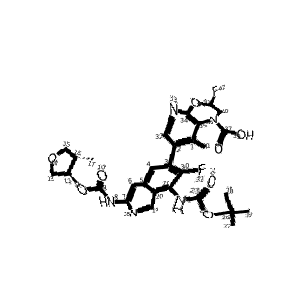 Cc1c(-c2cc3cc(NC(=O)O[C@H]4COC[C@@H]4C)ncc3c(NC(=O)OC(C)(C)C)c2F)cnc2c1N(C(=O)O)CC(F)O2